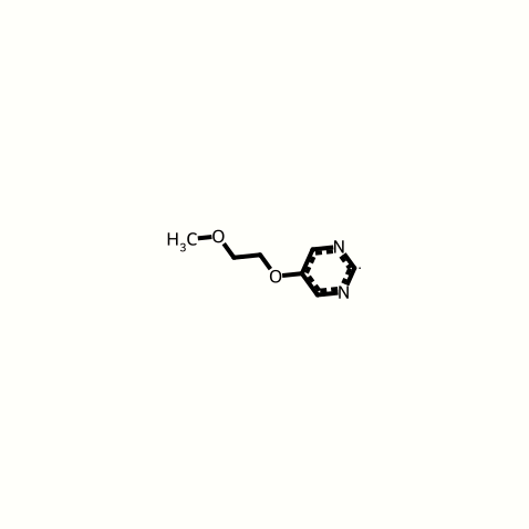 COCCOc1cn[c]nc1